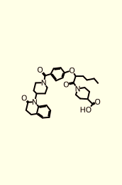 CCCCC(Oc1ccc(C(=O)N2CCC(N3C(=O)CCc4ccccc43)CC2)cc1)C(=O)N1CCC(C(=O)O)CC1